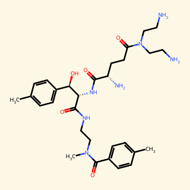 Cc1ccc(C(=O)N(C)CCNC(=O)[C@@H](NC(=O)[C@@H](N)CCC(=O)N(CCN)CCN)[C@H](O)c2ccc(C)cc2)cc1